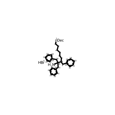 Br.CCCCCCCCCCCCCCCCC(Cc1ccccc1)C(N)(Cc1ccccc1)Cc1ccccc1